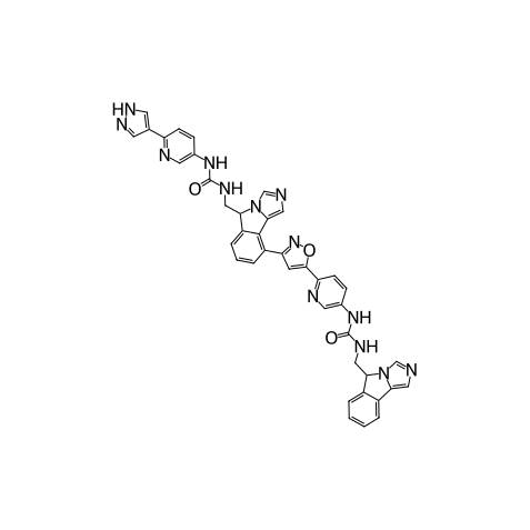 O=C(NCC1c2ccccc2-c2cncn21)Nc1ccc(-c2cc(-c3cccc4c3-c3cncn3C4CNC(=O)Nc3ccc(-c4cn[nH]c4)nc3)no2)nc1